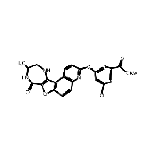 COC(=O)c1nc(Cl)cc(Oc2ccc3c(ccc4oc5c(c43)NCC(C)NC5=O)n2)n1